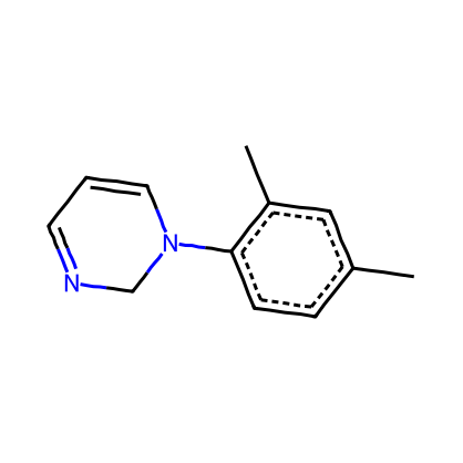 Cc1ccc(N2C=CC=NC2)c(C)c1